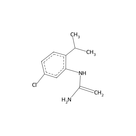 C=C(N)Nc1cc(Cl)ccc1C(C)C